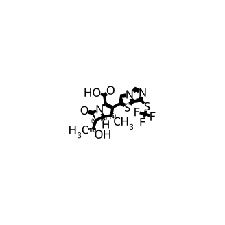 C[C@@H](O)[C@H]1C(=O)N2C(C(=O)O)=C(c3cn4cnc(SC(F)(F)F)c4s3)[C@H](C)[C@H]12